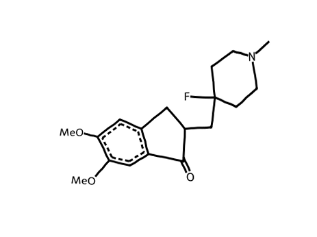 COc1cc2c(cc1OC)C(=O)C(CC1(F)CCN(C)CC1)C2